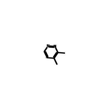 Cc1[c]cnnc1C